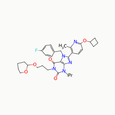 Cc1nc(OC2CCC2)ccc1-c1nc2c(c(=O)n(CCCOC3CCCCO3)c(=O)n2C(C)C)n1Cc1ccc(F)cc1